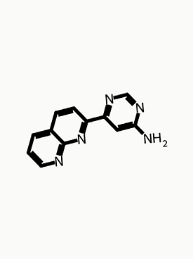 Nc1cc(-c2ccc3cccnc3n2)ncn1